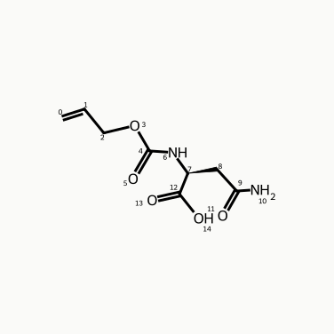 C=CCOC(=O)N[C@@H](CC(N)=O)C(=O)O